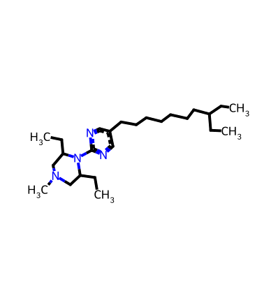 CCC(CC)CCCCCCCc1cnc(N2C(CC)CN(C)CC2CC)nc1